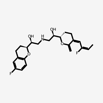 C=C1O[C@H]([C@H](O)CNC[C@H](O)[C@@H]2CCc3cc(F)ccc3O2)CC/C1=C/C(F)=C\C